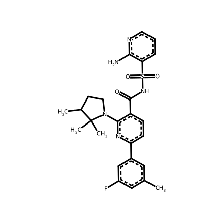 Cc1cc(F)cc(-c2ccc(C(=O)NS(=O)(=O)c3cccnc3N)c(N3CCC(C)C3(C)C)n2)c1